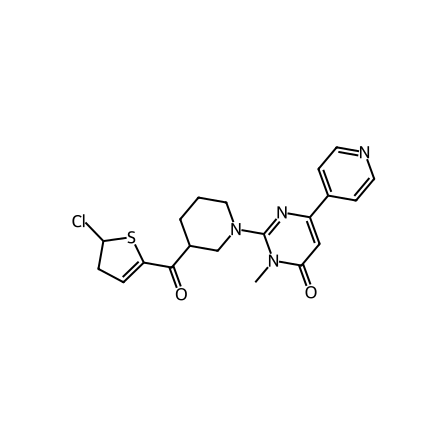 Cn1c(N2CCCC(C(=O)C3=CCC(Cl)S3)C2)nc(-c2ccncc2)cc1=O